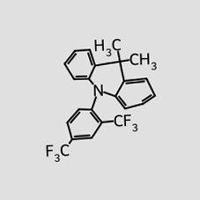 CC1(C)c2ccccc2N(c2ccc(C(F)(F)F)cc2C(F)(F)F)c2ccccc21